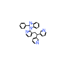 c1ccc(-c2nc3ccccc3n2-c2ncccc2CC(c2cccnc2)c2cccnc2)cc1